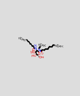 CCCCCCCCCCCCCCCCCC(=O)N[C@H]1C(N(CCCCCCCCCCCC)C(=O)CCCCCCCCCCCCCCCCC)O[C@H](CO)[C@@H](O)[C@@H]1O